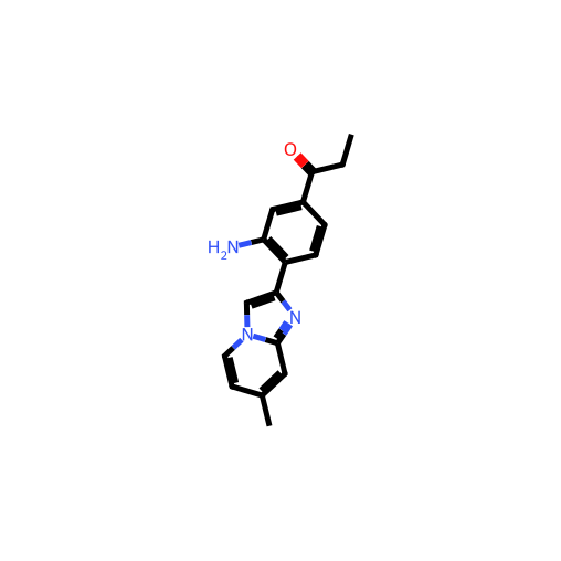 CCC(=O)c1ccc(-c2cn3ccc(C)cc3n2)c(N)c1